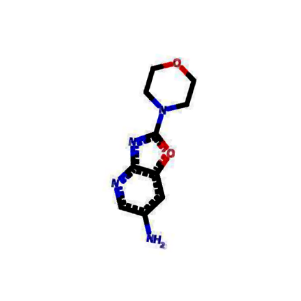 Nc1cnc2nc(N3CCOCC3)oc2c1